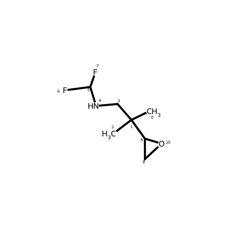 CC(C)(CNC(F)F)C1CO1